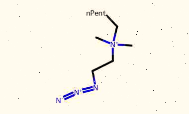 CCCCCC[N+](C)(C)CCN=[N+]=[N-]